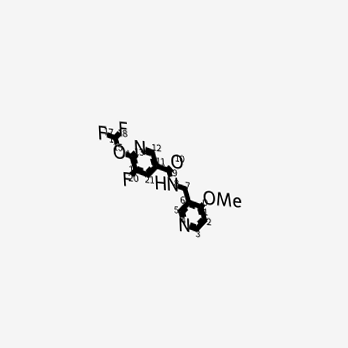 COc1ccncc1CNC(=O)c1cnc(OC(F)F)c(F)c1